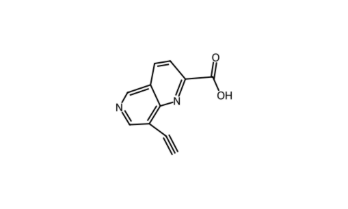 C#Cc1cncc2ccc(C(=O)O)nc12